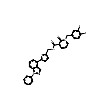 O=C(NCc1ccc(-c2cccc3c2cnn3-c2ccccc2)s1)c1cccn(Cc2ccc(F)c(F)c2)c1=O